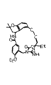 CCOc1ccc2cc1CN1C(=N)NC(CC)(CCCCc3ccc4c(c3)C(CC(C)(C)O4)NC2=O)CC1=O